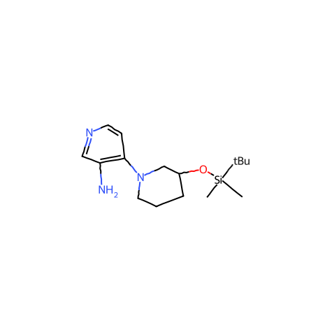 CC(C)(C)[Si](C)(C)OC1CCCN(c2ccncc2N)C1